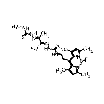 CNC(=S)N/N=C(C)/C(C)=N/NC(=S)NCC/C(=C1/N=C(C)C=C1C)c1c(C)cc(C)n1B(F)F